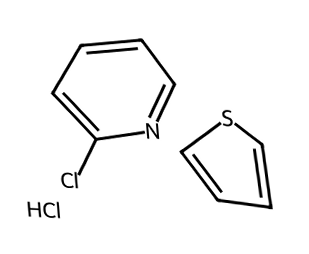 Cl.Clc1ccccn1.c1ccsc1